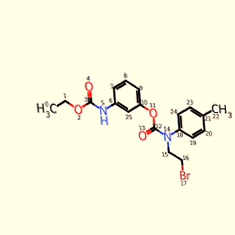 CCOC(=O)Nc1cccc(OC(=O)N(CCBr)c2ccc(C)cc2)c1